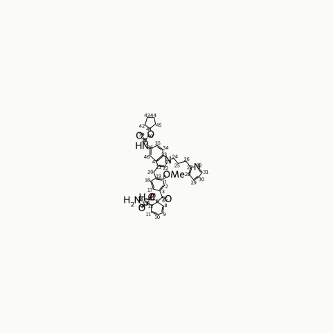 COc1cc(C(=O)C2(C)C=CC=CC2S(N)(=O)=O)ccc1Cc1cn(CCCc2ccccn2)c2ccc(NC(=O)OC3CCCC3)cc12